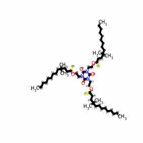 CCCCCCCCCC(C)(C)CCC(=S)OCCn1c(=O)n(CCOC(=S)CCC(C)(C)CCCCCCCCC)c(=O)n(CCOC(=S)CCC(C)(C)CCCCCCCCC)c1=O